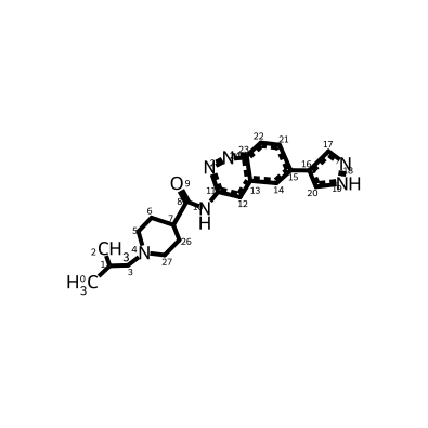 CC(C)CN1CCC(C(=O)Nc2cc3cc(-c4cn[nH]c4)ccc3nn2)CC1